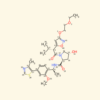 C[CH]OCCOc1cc([C@H](C(=O)N2C[C@H](O)C[C@H]2C(=O)N[C@@H](C)c2ccc(-c3scnc3C)cc2OC)C(C)C)on1